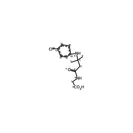 CC(C)(CC(=O)NCC(=O)O)Nc1ccc(Cl)cc1